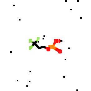 O=[PH](O)OCCC(F)(F)F